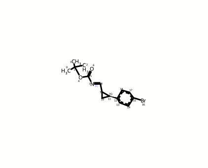 CC(C)(C)OC(=O)/N=C/C1C[C@@H]1c1ccc(Br)cc1